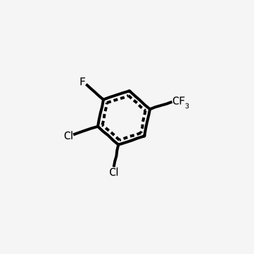 Fc1cc(C(F)(F)F)cc(Cl)c1Cl